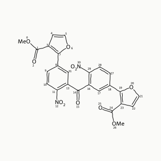 COC(=O)c1ccoc1-c1ccc([N+](=O)[O-])c(C(=O)c2cc(-c3occc3C(=O)OC)ccc2[N+](=O)[O-])c1